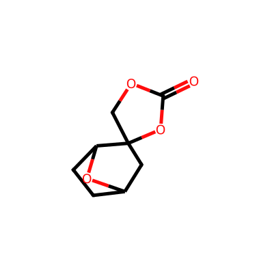 O=C1OCC2(CC3CCC2O3)O1